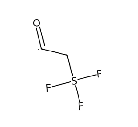 O=[C]CS(F)(F)F